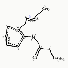 CC(=O)NCC(=O)Nc1ccccc1/C=C/[C]=O